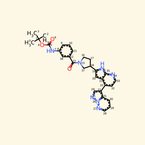 CC(C)(C)OC(=O)Nc1cccc(C(=O)N2CCC(c3cc4c(-c5cnn6ncccc56)ccnc4[nH]3)C2)c1